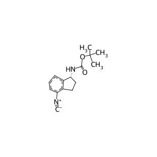 [C-]#[N+]c1cccc2c1CC[C@H]2NC(=O)OC(C)(C)C